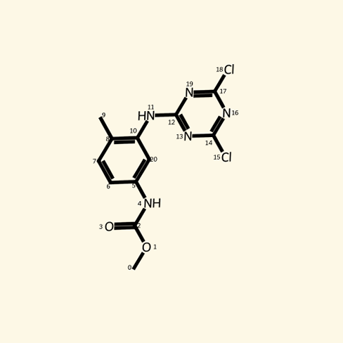 COC(=O)Nc1ccc(C)c(Nc2nc(Cl)nc(Cl)n2)c1